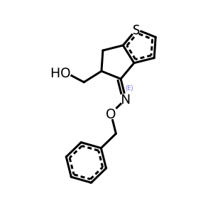 OCC1Cc2sccc2/C1=N/OCc1ccccc1